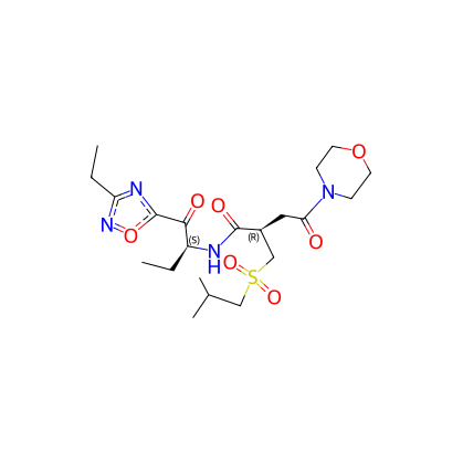 CCc1noc(C(=O)[C@H](CC)NC(=O)[C@@H](CC(=O)N2CCOCC2)CS(=O)(=O)CC(C)C)n1